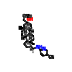 COC[C@@]1(O)CC[C@H]2[C@H](CC[C@@H]3[C@@H]2CC[C@]2(C)C([C@@H](C)Nc4ccc(C#N)cn4)CC[C@@H]32)C1